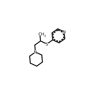 CC(CN1CCCCC1)Sc1ccncc1